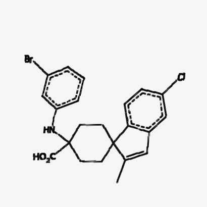 CC1=Cc2cc(Cl)ccc2C12CCC(Nc1cccc(Br)c1)(C(=O)O)CC2